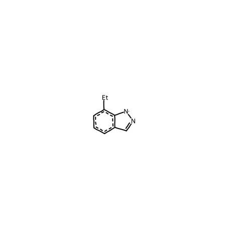 CCc1cccc2c1[N]N=C2